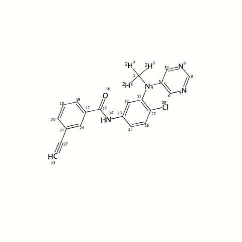 [2H]C([2H])([2H])N(c1cncnc1)c1cc(NC(=O)c2cccc(C#C)c2)ccc1Cl